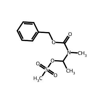 CC(OS(C)(=O)=O)N(C)C(=O)OCc1ccccc1